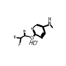 CNc1ccc(OC(F)C(F)F)nc1.Cl